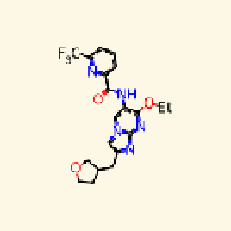 CCOc1nc2nc(CC3CCOC3)cn2cc1NC(=O)c1cccc(C(F)(F)F)n1